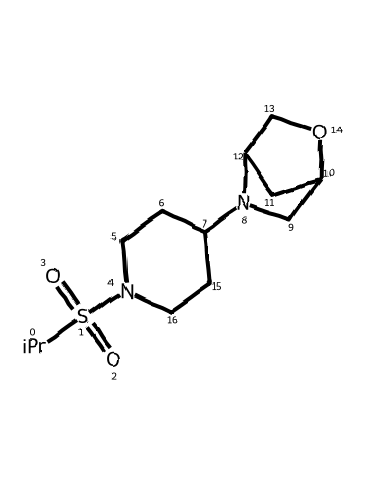 CC(C)S(=O)(=O)N1CCC(N2CC3CC2CO3)CC1